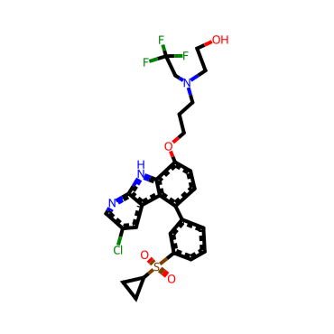 O=S(=O)(c1cccc(-c2ccc(OCCCN(CCO)CC(F)(F)F)c3[nH]c4ncc(Cl)cc4c23)c1)C1CC1